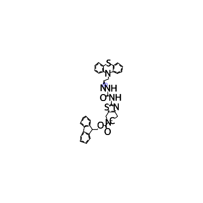 O=C(N/N=C\CN1c2ccccc2Sc2ccccc21)Nc1nc2c(s1)CN(C(=O)OCC1c3ccccc3-c3ccccc31)CC2